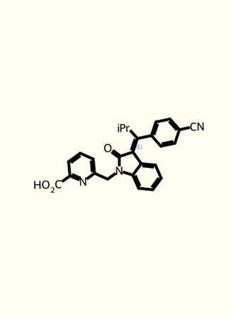 CC(C)/C(=C1\C(=O)N(Cc2cccc(C(=O)O)n2)c2ccccc21)c1ccc(C#N)cc1